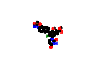 COC(=O)C(C)(C)c1cc(-n2ccc(=O)[nH]c2=O)c(F)c(-c2ccc3cc(NS(C)(=O)=O)ccc3c2)c1OC